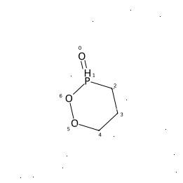 O=[PH]1CCCOO1